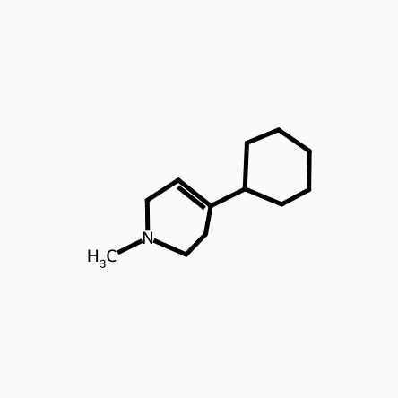 CN1CC=C(C2CCCCC2)CC1